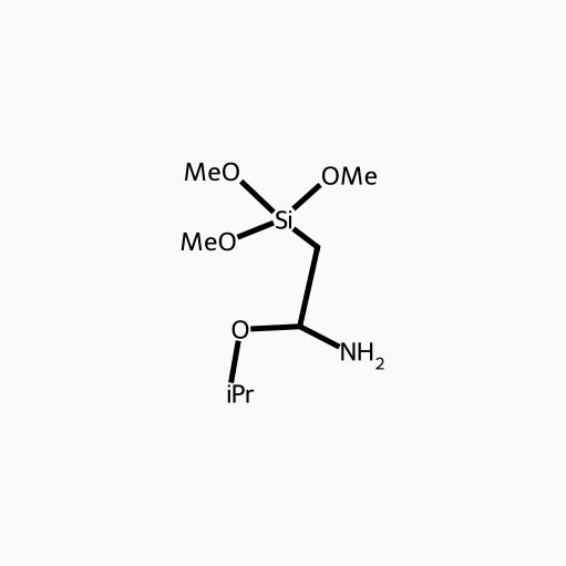 CO[Si](CC(N)OC(C)C)(OC)OC